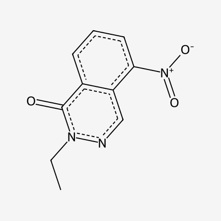 CCn1ncc2c([N+](=O)[O-])cccc2c1=O